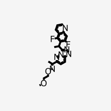 COCCON=C(C)c1ccc2nnc(C(C)c3c(F)cc4ncccc4c3F)n2n1